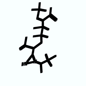 C=C(C)C(CC(C)(C)C(C)(C)C(CC(C)(C)C)C(=C)C)C1NN1C(C)C(C)(C)C